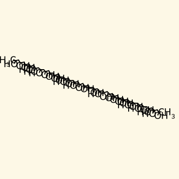 CC(O)CC(O)CC(O)CC(O)CC(O)CC(O)CC(O)CC(O)CC(O)CC(O)CC(O)CC(O)CC(O)CC(O)CCCC(O)CC(O)CC(O)CC(O)CC(O)CC(O)CC(O)CC(O)CC(O)CC(O)CC(O)CC(O)CC(O)CC(O)CC(C)O